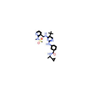 CC(NC(=O)c1cccc(Nc2ncc(C(C)(C)C)c(NCc3cccnc3N(C)S(C)(=O)=O)n2)c1)C1CC1